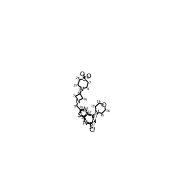 O=S1(=O)CCN(C2CN(Cc3nc4c(N5CCOCC5)nc(Cl)nc4s3)C2)CC1